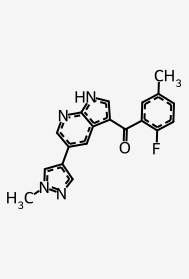 Cc1ccc(F)c(C(=O)c2c[nH]c3ncc(-c4cnn(C)c4)cc23)c1